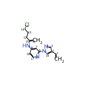 C=Cc1cnn(-c2cc(NC(=C)CCCCl)ccn2)c1